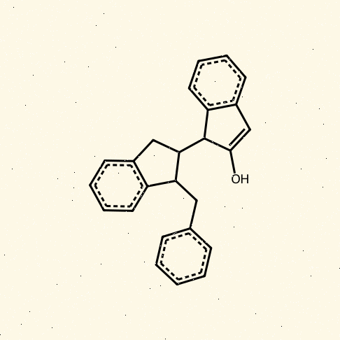 OC1=Cc2ccccc2C1C1Cc2ccccc2C1Cc1ccccc1